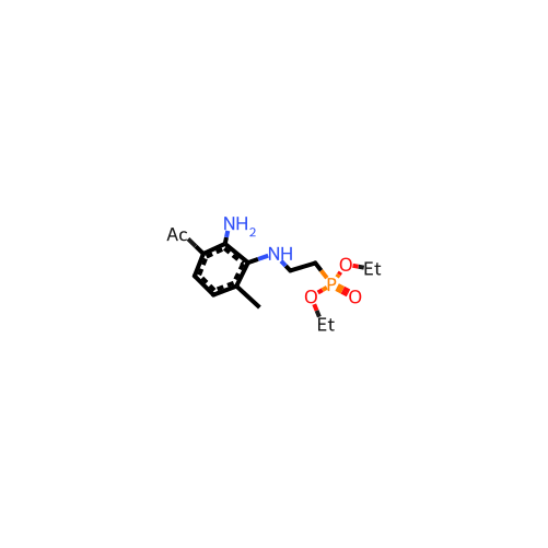 CCOP(=O)(CCNc1c(C)ccc(C(C)=O)c1N)OCC